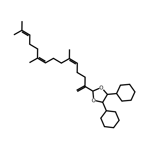 C=C(CCC=C(C)CCC=C(C)CCC=C(C)C)C1OC(C2CCCCC2)C(C2CCCCC2)O1